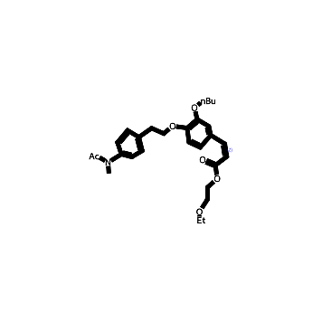 CCCCOc1cc(/C=C\C(=O)OCCOCC)ccc1OCCc1ccc(N(C)C(C)=O)cc1